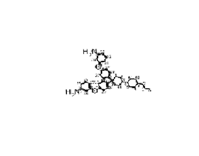 CCC[C@H]1CC[C@@H](C2CCC(c3ccc(Oc4cccc(N)c4)cc3)(c3ccc(Oc4cccc(N)c4)cc3)CC2)CC1